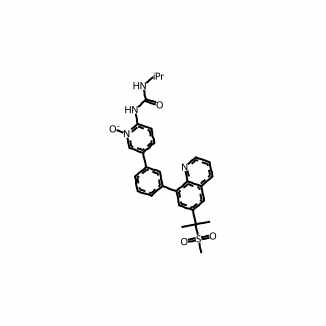 CC(C)NC(=O)Nc1ccc(-c2cccc(-c3cc(C(C)(C)S(C)(=O)=O)cc4cccnc34)c2)c[n+]1[O-]